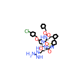 N=C(N)NCCC[C@H](NC(=O)[C@@H]1C[C@@H](OCc2ccc(Cl)cc2)CN1C(=O)[C@@H](CCc1ccccc1)NC(=O)OCc1ccccc1)C(=O)c1nc2ccccc2s1